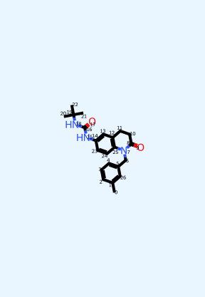 Cc1cccc(CN2C(=O)CCc3cc(NC(=O)NC(C)(C)C)ccc32)c1